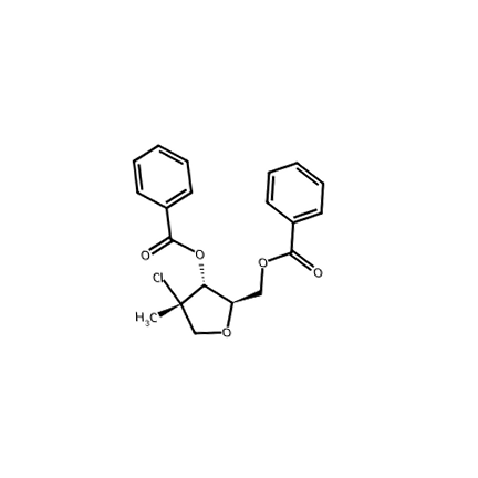 C[C@]1(Cl)CO[C@H](COC(=O)c2ccccc2)[C@H]1OC(=O)c1ccccc1